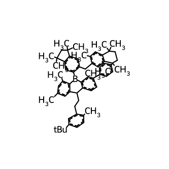 Cc1cc(C)c2c(c1)C(CCc1cc(C(C)(C)C)ccc1C)c1ccc(-c3ccccc3)cc1B2c1cc2c(cc1C(C)c1cc3c(cc1C)C(C)(C)CCC3(C)C)C(C)(C)CC2(C)C